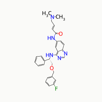 CN(C)C/C=C/C(=O)Nc1ccc2ncnc(N[C@H](COCc3cccc(F)c3)c3ccccc3)c2c1